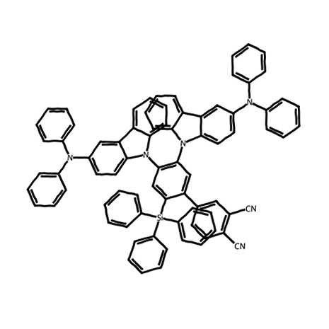 N#Cc1ccc(-c2cc(-n3c4ccccc4c4cc(N(c5ccccc5)c5ccccc5)ccc43)c(-n3c4ccccc4c4cc(N(c5ccccc5)c5ccccc5)ccc43)cc2[Si](c2ccccc2)(c2ccccc2)c2ccccc2)cc1C#N